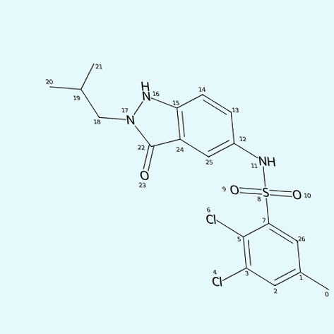 Cc1cc(Cl)c(Cl)c(S(=O)(=O)Nc2ccc3[nH]n(CC(C)C)c(=O)c3c2)c1